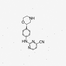 N#Cc1ccnc(Nc2ccc([C@@H]3CNCCO3)cc2)n1